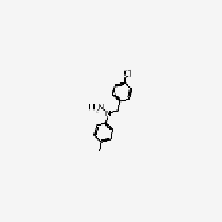 Cc1ccc(N(N)Cc2ccc(Cl)cc2)cc1